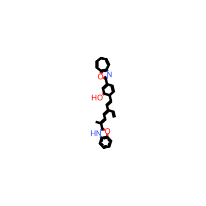 C=C/C(C=CC1C=CC(c2nc3c(o2)C=CCC=C3)=CC1O)=C\C=C(/C)C1Nc2ccccc2O1